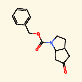 O=C1CC2CCN(C(=O)OCc3ccccc3)C2C1